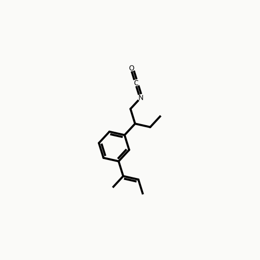 CC=C(C)c1cccc(C(CC)CN=C=O)c1